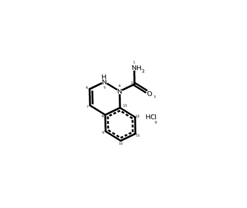 Cl.NC(=O)N1NC=Cc2ccccc21